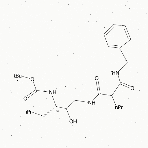 CCCC(C(=O)NCc1ccccc1)C(=O)NCC(O)[C@H](CC(C)C)NC(=O)OC(C)(C)C